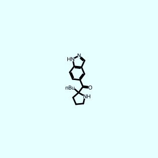 CCCCC1(C(=O)c2ccc3[nH]ncc3c2)CCCN1